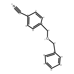 N#Cc1ccc(COCc2ccccc2)cc1